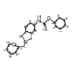 S=C(Nc1ccc2c(c1)CN(Cc1ccccc1)C2)Oc1ccccc1